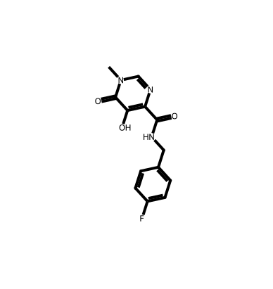 Cn1cnc(C(=O)NCc2ccc(F)cc2)c(O)c1=O